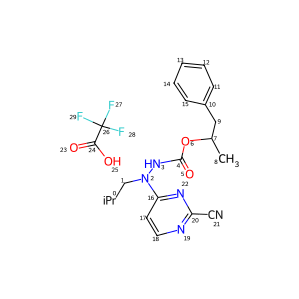 CC(C)CN(NC(=O)OC(C)Cc1ccccc1)c1ccnc(C#N)n1.O=C(O)C(F)(F)F